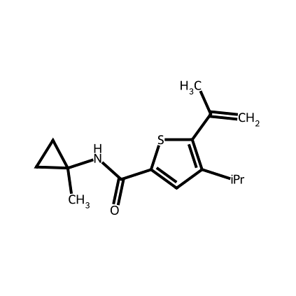 C=C(C)c1sc(C(=O)NC2(C)CC2)cc1C(C)C